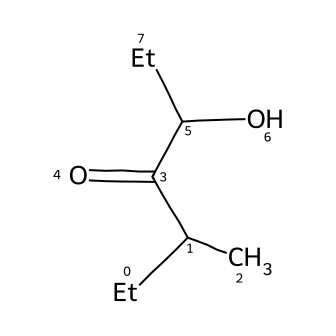 CCC(C)C(=O)C(O)CC